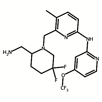 Cc1ccc(Nc2cc(OC(F)(F)F)ccn2)nc1CN1CC(F)(F)CCC1CN